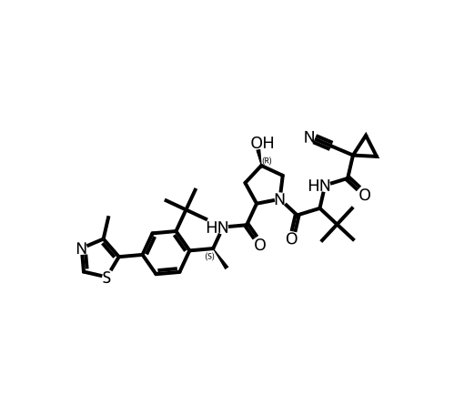 Cc1ncsc1-c1ccc([C@H](C)NC(=O)C2C[C@@H](O)CN2C(=O)C(NC(=O)C2(C#N)CC2)C(C)(C)C)c(C(C)(C)C)c1